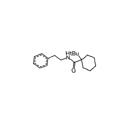 CC(C)(C)C1(C(=O)NCCc2ccccc2)CCCCC1